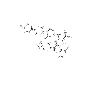 Cc1cc(Nc2nc(NC3CCC4(CC3)COC4)c(-c3ncccc3C)nc2C(N)=O)ccc1N1CCC(N2CCN(C)CC2)CC1